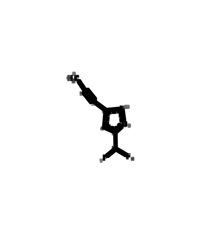 [CH2]C#Cc1cc(C(F)F)on1